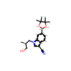 C[C@H](CO)Cn1cc(C#N)c2ccc(B3OC(C)(C)C(C)(C)O3)cc21